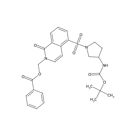 CC(C)(C)OC(=O)NC1CCN(S(=O)(=O)c2cccc3c(=O)n(COC(=O)c4ccccc4)ccc23)C1